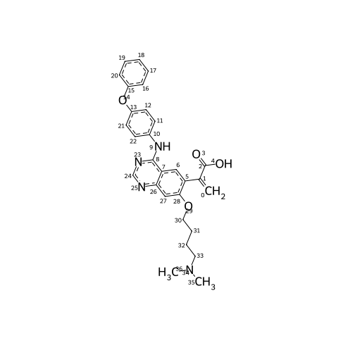 C=C(C(=O)O)c1cc2c(Nc3ccc(Oc4ccccc4)cc3)ncnc2cc1OCCCCN(C)C